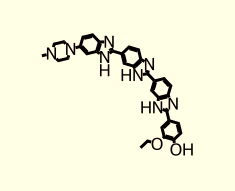 CCOc1cc(-c2nc3ccc(-c4nc5ccc(-c6nc7ccc(N8CCN(C)CC8)cc7[nH]6)cc5[nH]4)cc3[nH]2)ccc1O